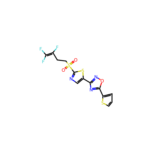 O=S(=O)(CCC(F)=C(F)F)c1ncc(-c2noc(-c3cccs3)n2)s1